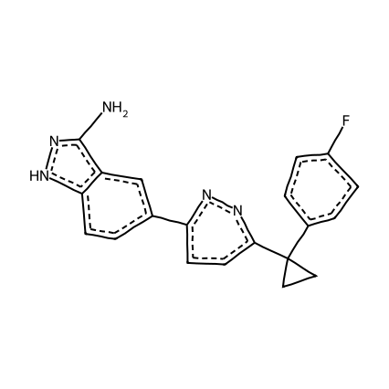 Nc1n[nH]c2ccc(-c3ccc(C4(c5ccc(F)cc5)CC4)nn3)cc12